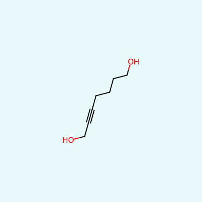 OCC#CCCCCO